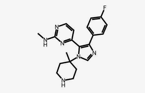 CNc1nccc(-c2c(-c3ccc(F)cc3)ncn2C2(C)CCNCC2)n1